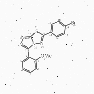 COc1ccccc1-c1nnc2sc(-c3ccc(Br)cc3)nn12